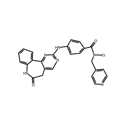 CCN(Cc1ccncc1)C(=O)c1ccc(Nc2ncc3c(n2)-c2ccccc2NC(=O)C3)cc1